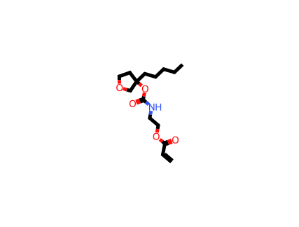 C=CC(=O)OCCNC(=O)OC1(CCCCC)CCOC1